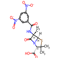 CC1(C)S[C@H]2N(C(=O)[C@]2(C)NC(=O)c2cc([N+](=O)[O-])cc([N+](=O)[O-])c2)[C@H]1C(=O)O